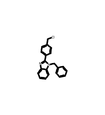 ClCc1ccc(-c2nc3ccccc3n2Cc2ccccc2)cc1